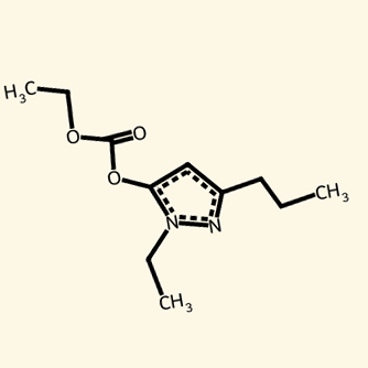 CCCc1cc(OC(=O)OCC)n(CC)n1